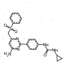 Nc1cc(CS(=O)(=O)c2ccccc2)nc(-c2ccc(NC(=O)NC3CC3)cc2)n1